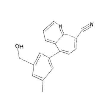 Cc1cc(CO)cc(-c2ccc(C#N)c3ncccc23)c1